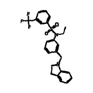 CCN(c1cccc(CN2CCc3ccccc32)c1)S(=O)(=O)c1cccc(C(F)(F)F)c1